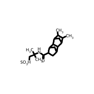 CC1C(C)C2CC1C1C3CC(C(=O)NC(C)(C)CS(=O)(=O)O)C(C3)C21